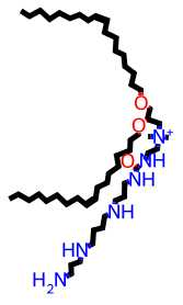 CCCCCCCC/C=C\CCCCCCCCOCC(C[N+](C)(C)CCNC(=O)NCCCNCCCCNCCCN)OCCCCCCCC/C=C\CCCCCCCC